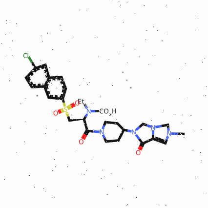 CCN(C(=O)O)[C@H](CS(=O)(=O)c1ccc2cc(Cl)ccc2c1)C(=O)N1CCC(N2CN3CN(C)C=C3C2=O)CC1